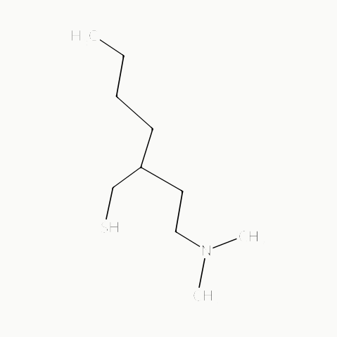 CCCCC(CS)CCN(C)C